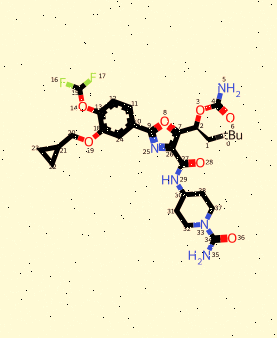 CC(C)(C)C[C@H](OC(N)=O)c1oc(-c2ccc(OC(F)F)c(OCC3CC3)c2)nc1C(=O)NC1CCN(C(N)=O)CC1